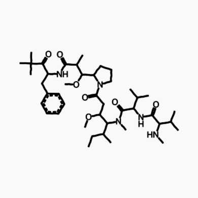 CCC(C)C(C(CC(=O)N1CCCC1C(OC)C(C)C(=O)NC(Cc1ccccc1)C(=O)C(C)(C)C)OC)N(C)C(=O)C(NC(=O)C(NC)C(C)C)C(C)C